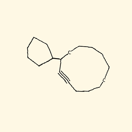 C1#CC(C2CCCCC2)CCCCCCCCC1